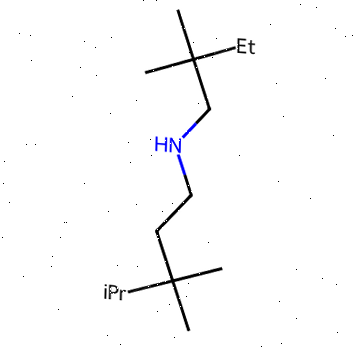 CCC(C)(C)CNCCC(C)(C)C(C)C